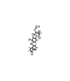 C#CCNC(=O)C(C(N)=O)c1ccc(Oc2ccnc3[nH]ccc23)c(F)c1